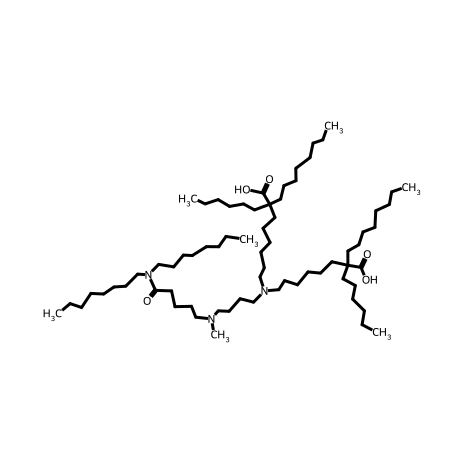 CCCCCCCCN(CCCCCCCC)C(=O)CCCCN(C)CCCCN(CCCCCCC(CCCCCC)(CCCCCCCC)C(=O)O)CCCCCCC(CCCCCC)(CCCCCCCC)C(=O)O